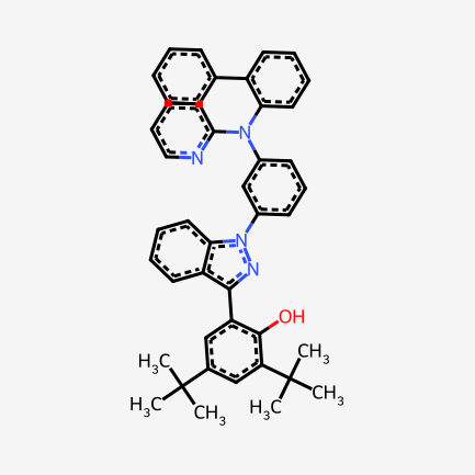 CC(C)(C)c1cc(-c2nn(-c3cccc(N(c4ccccn4)c4ccccc4-c4ccccc4)c3)c3ccccc23)c(O)c(C(C)(C)C)c1